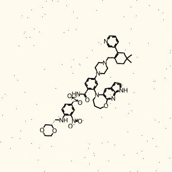 CC1(C)CCC(CN2CCN(c3ccc(C(=O)NS(=O)(=O)c4ccc(NC[C@H]5COCCO5)c([N+](=O)[O-])c4)c(N4CCCOc5nc6[nH]ccc6cc54)c3)CC2)=C(c2cccnc2)C1